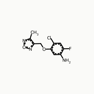 Cc1nonc1COc1cc(N)c(F)cc1Cl